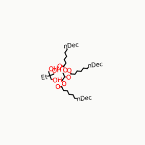 CCC(CO)(CO)CO.CCCCCCCCCCCCCCCC(=O)OCC(COC(=O)CCCCCCCCCCCCCCC)OC(=O)CCCCCCCCCCCCCCC